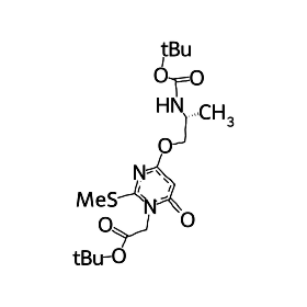 CSc1nc(OC[C@@H](C)NC(=O)OC(C)(C)C)cc(=O)n1CC(=O)OC(C)(C)C